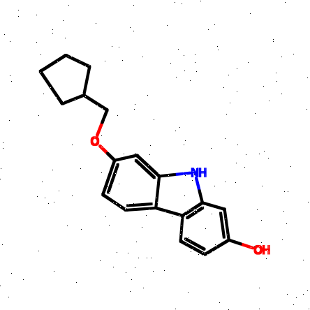 Oc1ccc2c(c1)[nH]c1cc(OCC3CCCC3)ccc12